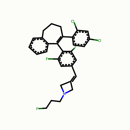 FCCCN1CC(=Cc2cc(F)c(C3=C(c4ccc(Cl)cc4Cl)CCCc4ccccc43)c(F)c2)C1